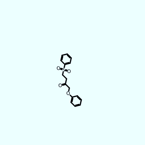 O=C(CCS(=O)(=O)c1ccccc1)COc1ccccc1